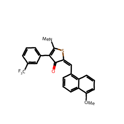 CNC1=C(c2cccc(C(F)(F)F)c2)C(=O)/C(=C\c2cccc3c(OC)cccc23)S1